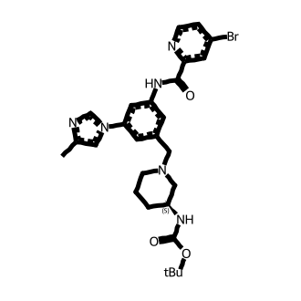 Cc1cn(-c2cc(CN3CCC[C@H](NC(=O)OC(C)(C)C)C3)cc(NC(=O)c3cc(Br)ccn3)c2)cn1